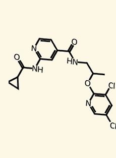 CC(CNC(=O)c1ccnc(NC(=O)C2CC2)c1)Oc1ncc(C(F)(F)F)cc1Cl